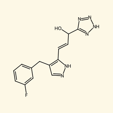 OC(C=Cc1[nH]ncc1Cc1cccc(F)c1)c1nn[nH]n1